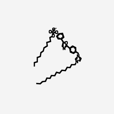 CCCCCCCCCCCCCCCC[n+]1ccn(Cc2ccc(-c3ncc(-c4ccccc4)o3)cc2)c1.CCCCCCCCCCCCOS(=O)(=O)[O-]